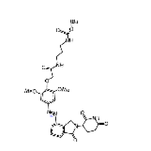 COc1cc(/N=N/c2cccc3c2CN(C2CCC(=O)NC2=O)C3=O)cc(OC)c1OCC(=O)NCCCNC(=O)OC(C)(C)C